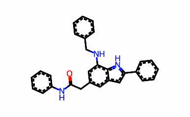 O=C(Cc1cc(NCc2ccccc2)c2[nH]c(-c3ccccc3)cc2c1)Nc1ccccc1